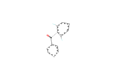 O=C(c1[c]cccc1)c1c(F)cccc1F